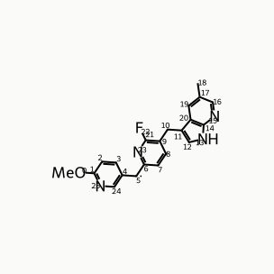 COc1ccc([CH]c2ccc(Cc3c[nH]c4ncc(C)cc34)c(F)n2)cn1